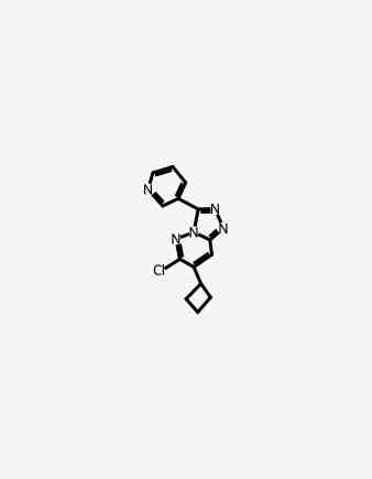 Clc1nn2c(-c3cccnc3)nnc2cc1C1CCC1